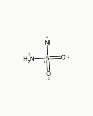 N[S](=O)(=O)[Ni]